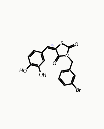 O=C1S/C(=C/c2ccc(O)c(O)c2)C(=O)N1Cc1cccc(Br)c1